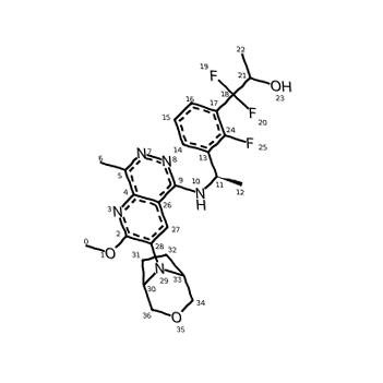 COc1nc2c(C)nnc(N[C@H](C)c3cccc(C(F)(F)C(C)O)c3F)c2cc1N1C2CCC1COC2